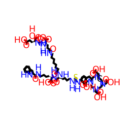 O=C(O)CC[C@H](NC(=O)N[C@@H](CCC(=O)NCCCCCCCC(=O)N[C@@H](CCCCNC(=S)Nc1ccc(CC2CN(CC(=O)O)CCN(CC(=O)O)CCN(CC(=O)O)CCN2CC(=O)O)cc1)C(=O)N[C@@H](CCCCNC(=O)c1cc2ccccc2[nH]1)C(=O)O)C(=O)O)C(=O)O